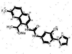 COC(C)c1c(NC(=O)Nc2cnc(-n3nccn3)c(C#N)c2)cnc2ccc(C(F)(F)F)nc12